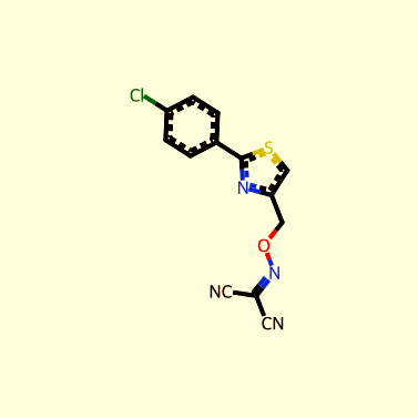 N#CC(C#N)=NOCc1csc(-c2ccc(Cl)cc2)n1